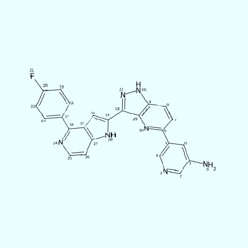 Nc1cncc(-c2ccc3[nH]nc(-c4cc5c(-c6ccc(F)cc6)nccc5[nH]4)c3n2)c1